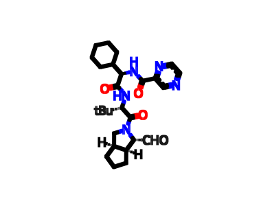 CC(C)(C)[C@H](NC(=O)[C@H](NC(=O)c1cnccn1)C1CCCCC1)C(=O)N1C[C@@H]2CCC[C@@H]2[C@H]1C=O